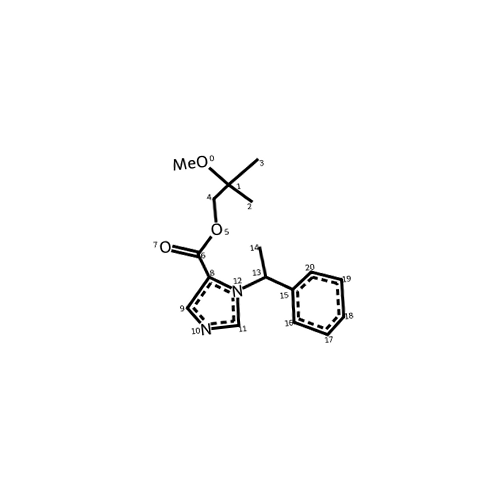 COC(C)(C)COC(=O)c1cncn1C(C)c1ccccc1